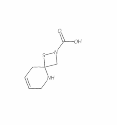 O=C(O)N1CC2(CC=CCN2)S1